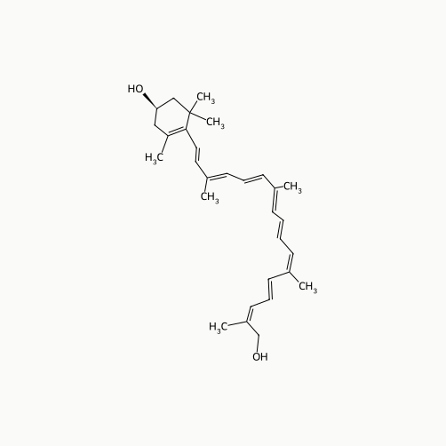 CC(C=CC=C(C)C=CC1=C(C)C[C@@H](O)CC1(C)C)=CC=CC=C(C)C=CC=C(C)CO